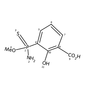 COP(N)(=S)c1cccc(C(=O)O)c1O